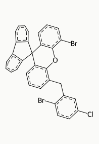 Clc1ccc(Br)c(Cc2cccc3c2Oc2c(Br)cccc2C32c3ccccc3-c3ccccc32)c1